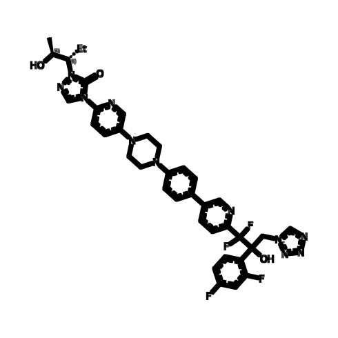 CC[C@@H]([C@H](C)O)n1ncn(-c2ccc(N3CCN(c4ccc(-c5ccc(C(F)(F)C(O)(Cn6cnnn6)c6ccc(F)cc6F)nc5)cc4)CC3)cn2)c1=O